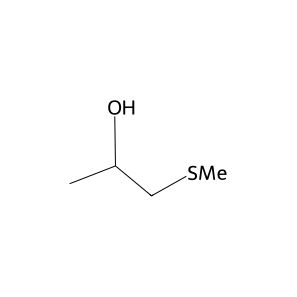 CSCC(C)O